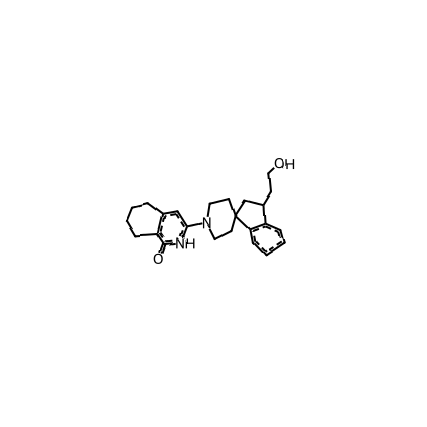 O=c1[nH]c(N2CCC3(CC2)CC(CCO)c2ccccc23)cc2c1CCCC2